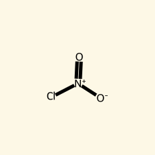 O=[N+]([O-])Cl